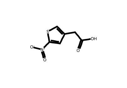 O=C(O)Cc1csc([N+](=O)[O-])c1